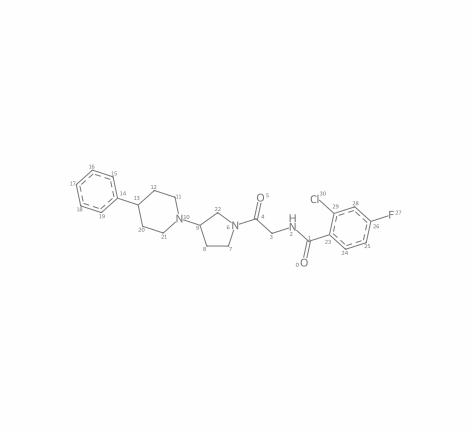 O=C(NCC(=O)N1CCC(N2CCC(c3ccccc3)CC2)C1)c1ccc(F)cc1Cl